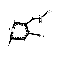 Fc1ccc(CNCl)c(F)c1